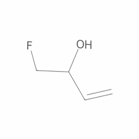 C=CC(O)CF